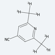 [2H]C([2H])([2H])c1cc(C#N)cc(C([2H])([2H])[2H])n1